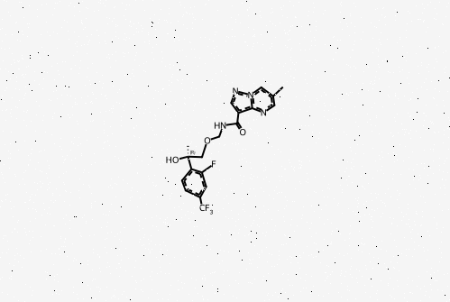 Cc1cnc2c(C(=O)NCOC[C@](C)(O)c3ccc(C(F)(F)F)cc3F)cnn2c1